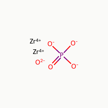 O=P([O-])([O-])[O-].[O-2].[Zr+4].[Zr+4]